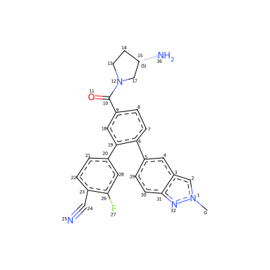 Cn1cc2cc(-c3ccc(C(=O)N4CC[C@H](N)C4)cc3-c3ccc(C#N)c(F)c3)ccc2n1